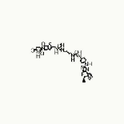 Cn1ncc(-c2nc(NC3CCC(NCC(=O)NCCCCNCC(=O)NCc4cc5c(s4)C(=O)N(C4CCC(=O)NC4=O)C5)CC3)ncc2F)c1CC1CC1